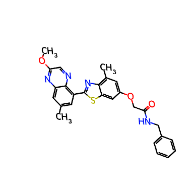 COc1cnc2c(-c3nc4c(C)cc(OCC(=O)NCc5ccccc5)cc4s3)cc(C)cc2n1